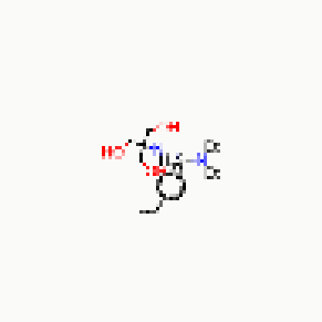 C=Cc1ccc([SiH2]N(CC)CC)cc1.NC(CO)(CO)CO